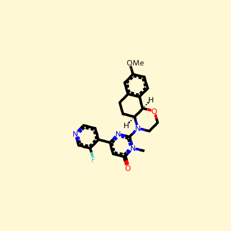 COc1ccc2c(c1)CC[C@H]1[C@@H]2OCCN1c1nc(-c2ccncc2F)cc(=O)n1C